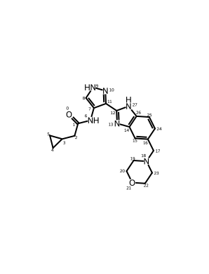 O=C(CC1CC1)Nc1c[nH]nc1-c1nc2cc(CN3CCOCC3)ccc2[nH]1